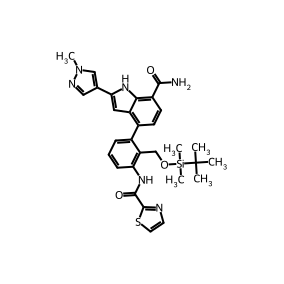 Cn1cc(-c2cc3c(-c4cccc(NC(=O)c5nccs5)c4CO[Si](C)(C)C(C)(C)C)ccc(C(N)=O)c3[nH]2)cn1